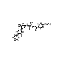 COc1ccc(C(=O)CCC(=O)NCC2CN(c3ccc(N4CCOCC4)c(F)c3)C(=O)O2)cc1